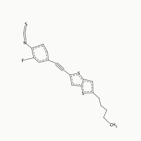 CCCCCc1cc2sc(C#Cc3ccc(N=C=S)c(F)c3)cc2s1